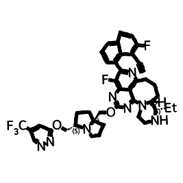 C#Cc1c(F)ccc2cccc(-c3nc4c5c(nc(OC[C@@]67CCCN6[C@H](COc6cc(C(F)(F)F)cnn6)CC7)nc5c3F)N3CCN[C@@H](CC)[C@H]3CCC4)c12